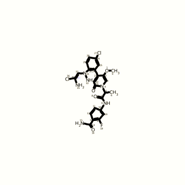 COc1cn(C(C)C(=O)Nc2ccc(C(N)=O)c(F)c2)c(=O)cc1-c1cc(Cl)ccc1N(N)/C=C(\N)Cl